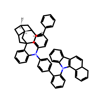 C1=CCC2C=Cc3c(n(-c4ccccc4-c4ccc(N(c5ccc(-c6ccccc6)cc5)c5ccccc5C56CC7C[C@H]8C[C@H](C5)C[C@@]78C6)cc4)c4ccccc34)C2=C1